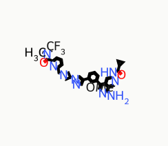 COc1c(-c2cnn(C3CN(Cc4cccc(C(=O)N(C)CC(F)(F)F)n4)C3)c2)cccc1-c1cnc(N)c2cnc(NC(=O)C3CC3)cc12